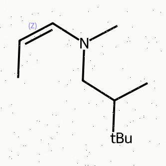 C/C=C\N(C)CC(C)C(C)(C)C